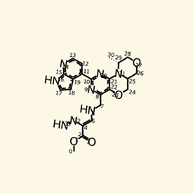 COC(=O)/C(=C/NCc1nc(-c2ccnc3[nH]ccc23)nc2c1OCC1COC[C@@H](C)N21)N=N